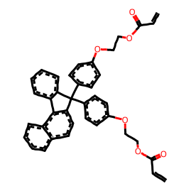 C=CC(=O)OCCOc1ccc(C2(c3ccc(OCCOC(=O)C=C)cc3)c3ccccc3-c3c2ccc2ccccc32)cc1